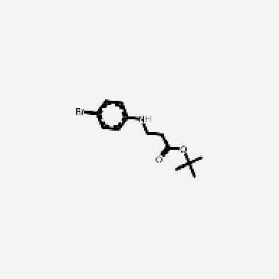 CC(C)(C)OC(=O)CCNc1ccc(Br)cc1